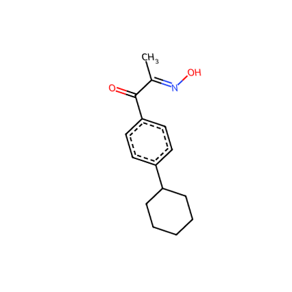 CC(=NO)C(=O)c1ccc(C2CCCCC2)cc1